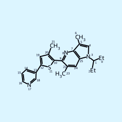 CCC(CC)n1cc(C)c2nc(-c3sc(-c4cccnc4)cc3C)c(C)cc21